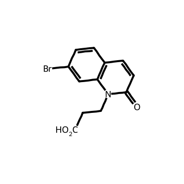 O=C(O)CCn1c(=O)ccc2ccc(Br)cc21